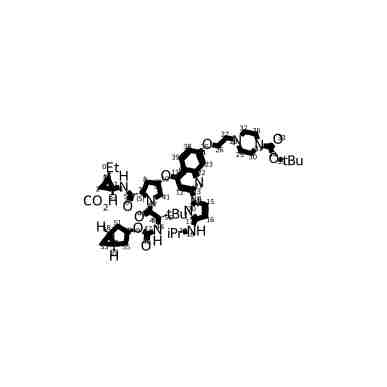 CC[C@@H]1C[C@]1(NC(=O)[C@@H]1C[C@@H](Oc2cc(-n3ccc(NC(C)C)n3)nc3cc(OCCN4CCN(C(=O)OC(C)(C)C)CC4)ccc23)CN1C(=O)[C@@H](NC(=O)O[C@@H]1C[C@@H]2C[C@@H]2C1)C(C)(C)C)C(=O)O